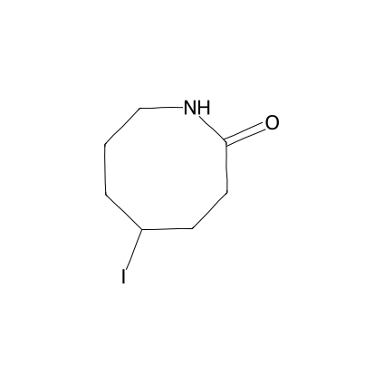 O=C1CCC(I)CCCN1